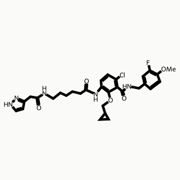 COc1ccc(CNC(=O)c2c(Cl)ccc(NC(=O)CCCCCNC(=O)Cc3cc[nH]n3)c2OCC2CC2)cc1F